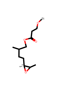 CCOCCC(=O)OCC(C)CC[C@]1(C)OC1C